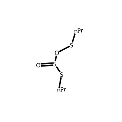 CCCSOS(=O)SCCC